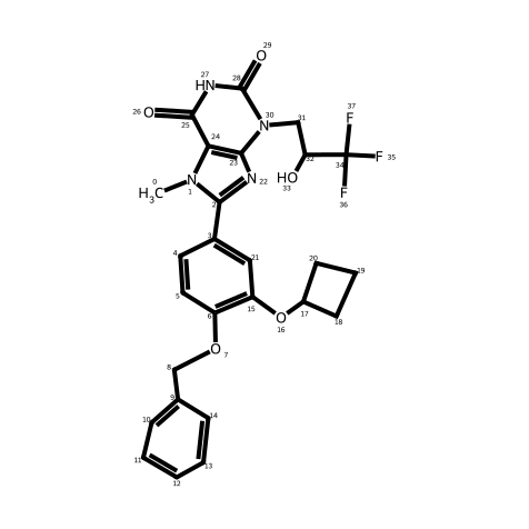 Cn1c(-c2ccc(OCc3ccccc3)c(OC3CCC3)c2)nc2c1c(=O)[nH]c(=O)n2CC(O)C(F)(F)F